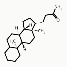 C[C@]12CC[C@H]3[C@@H](CCC4CCCC[C@@]43C)[C@@H]1CC[C@@H]2CCC(N)=O